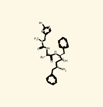 CC(C)c1nc(CN(C)C(=O)N[C@H](C(=O)N[C@@H](Cc2ccccc2)[C@@H](O)C[C@@H](N)Cc2ccccc2)C(C)C)cs1